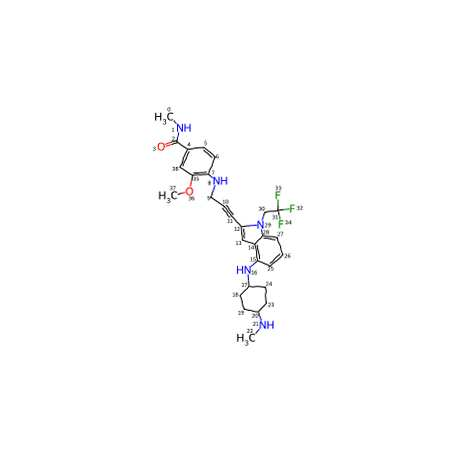 CNC(=O)c1ccc(NCC#Cc2cc3c(NC4CCC(NC)CC4)cccc3n2CC(F)(F)F)c(OC)c1